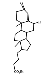 CCOC(=O)CCCC1CCC2C3CC(CC)C4=CC(=O)CCC4(C)C3CCC12C